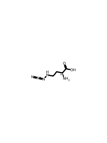 [N-]=[N+]=NNCC[C@H](N)C(=O)O